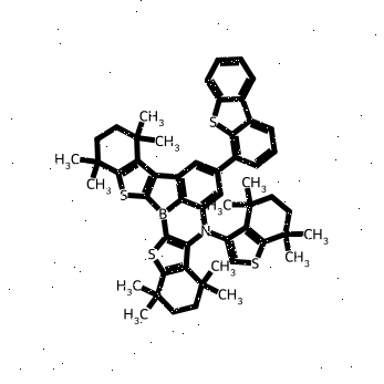 CC1(C)CCC(C)(C)c2c(N3c4cc(-c5cccc6c5sc5ccccc56)cc5c4B(c4sc6c(c4-5)C(C)(C)CCC6(C)C)c4sc5c(c43)C(C)(C)CCC5(C)C)csc21